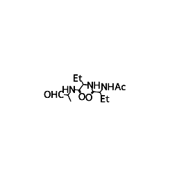 CCC(NC(C)=O)C(=O)NC(CC)C(=O)NC(C)C=O